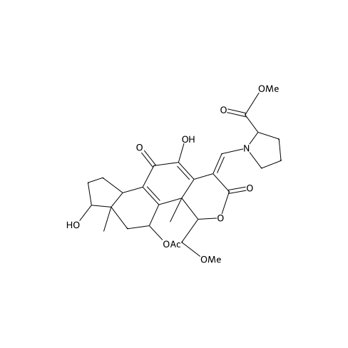 COCC1OC(=O)C(=CN2CCCC2C(=O)OC)C2=C(O)C(=O)C3=C(C(OC(C)=O)CC4(C)C(O)CCC34)C21C